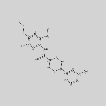 CCCc1nc(OC)c(NC(=O)N2CCN(c3cccc(O)c3)CC2)cc1C